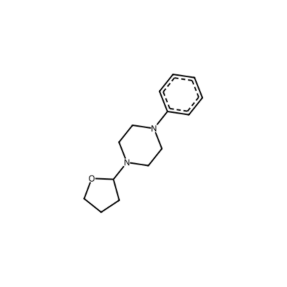 c1ccc(N2CCN(C3CCCO3)CC2)cc1